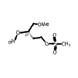 CCCO[C@@H](CCOS(C)(=O)=O)COC